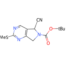 CSc1ncc2c(n1)CN(C(=O)OC(C)(C)C)C2C#N